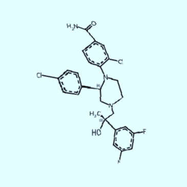 C[C@@](O)(CN1CCN(c2ccc(C(N)=O)cc2Cl)[C@H](c2ccc(Cl)cc2)C1)c1cc(F)cc(F)c1